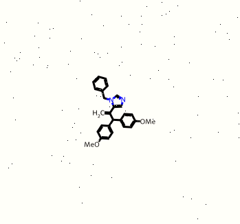 C=C(c1cncn1Cc1ccccc1)C(c1ccc(OC)cc1)c1ccc(OC)cc1